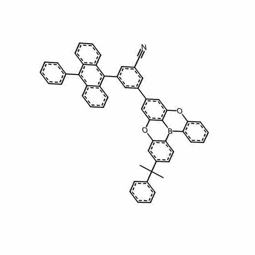 CC(C)(c1ccccc1)c1ccc2c(c1)Oc1cc(-c3cc(C#N)cc(-c4c5ccccc5c(-c5ccccc5)c5ccccc45)c3)cc3c1B2c1ccccc1O3